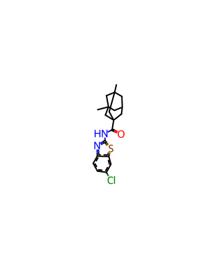 CC12CC3CC(C)(C1)CC(C(=O)Nc1nc4ccc(Cl)cc4s1)(C3)C2